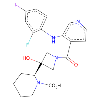 O=C(c1ccncc1Nc1ccc(I)cc1F)N1CC(O)([C@@H]2CCCCN2C(=O)O)C1